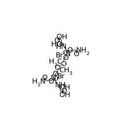 Cc1c(COc2nc(OCCC(N)=O)c(CNCC(O)CC(=O)O)cc2Br)cccc1-c1cccc(COc2nc(OCCC(N)=O)c(CNCC(O)CC(=O)O)cc2Br)c1C